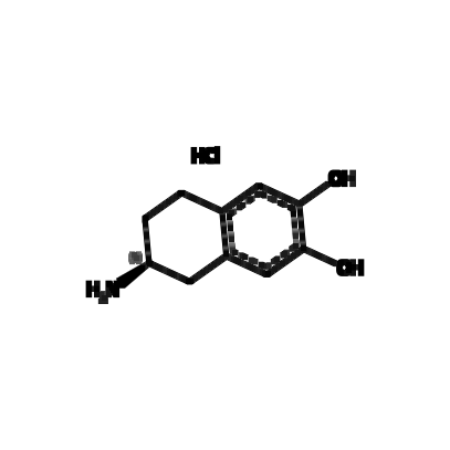 Cl.N[C@H]1CCc2cc(O)c(O)cc2C1